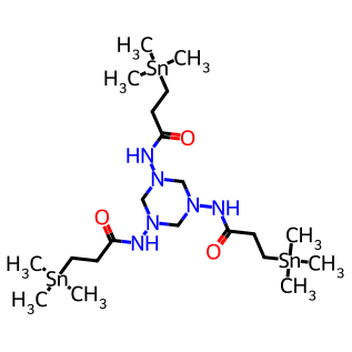 [CH3][Sn]([CH3])([CH3])[CH2]CC(=O)NN1CN(NC(=O)C[CH2][Sn]([CH3])([CH3])[CH3])CN(NC(=O)C[CH2][Sn]([CH3])([CH3])[CH3])C1